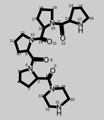 O=C(C1CCCN1C(=O)C1CCCN1C(=O)C1CCCN1C(=O)C1CCCN1)N1CCNCC1